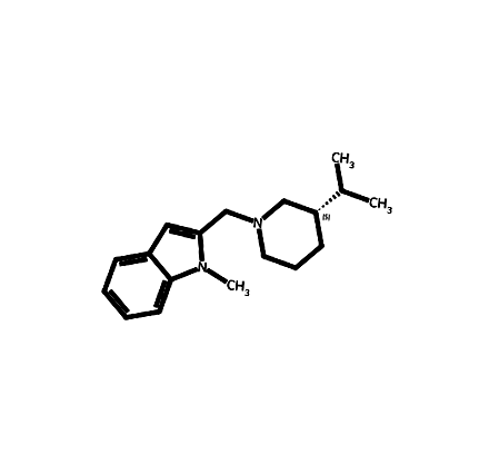 CC(C)[C@@H]1CCCN(Cc2cc3ccccc3n2C)C1